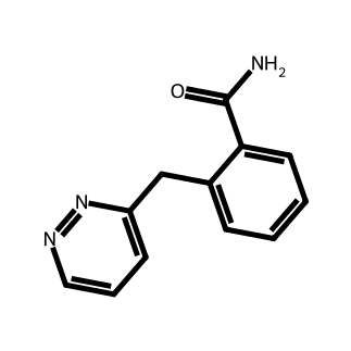 NC(=O)c1ccccc1Cc1cccnn1